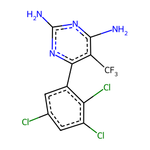 Nc1nc(N)c(C(F)(F)F)c(-c2cc(Cl)cc(Cl)c2Cl)n1